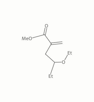 C=C(CC(CC)OCC)C(=O)OC